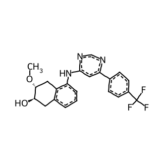 CO[C@@H]1Cc2c(cccc2Nc2cc(-c3ccc(C(F)(F)F)cc3)ncn2)C[C@H]1O